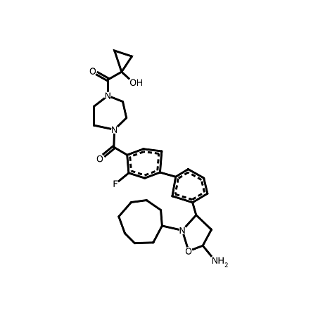 NC1CC(c2cccc(-c3ccc(C(=O)N4CCN(C(=O)C5(O)CC5)CC4)c(F)c3)c2)N(C2CCCCCCC2)O1